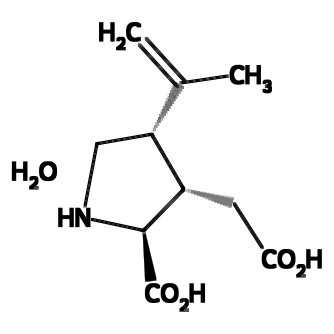 C=C(C)[C@H]1CN[C@H](C(=O)O)[C@H]1CC(=O)O.O